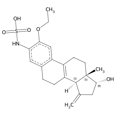 C=C1C[C@@H](O)[C@@]2(C)CCC3=C(CCc4cc(NS(=O)(=O)O)c(OCC)cc43)[C@H]12